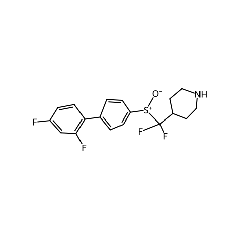 [O-][S+](c1ccc(-c2ccc(F)cc2F)cc1)C(F)(F)C1CCNCC1